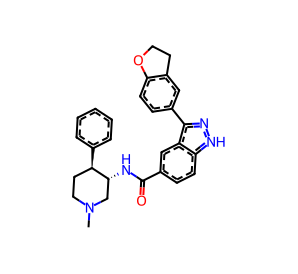 CN1CC[C@@H](c2ccccc2)[C@H](NC(=O)c2ccc3[nH]nc(-c4ccc5c(c4)CCO5)c3c2)C1